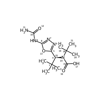 CC(C)(C)[C@@H](c1nnc(NC(N)=O)o1)N(C(=O)O)C(C)(C)C